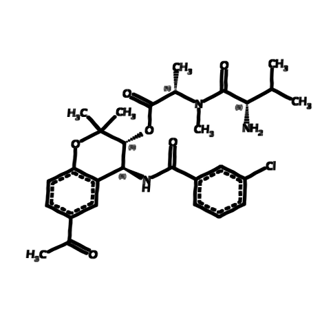 CC(=O)c1ccc2c(c1)[C@H](NC(=O)c1cccc(Cl)c1)[C@@H](OC(=O)[C@H](C)N(C)C(=O)[C@@H](N)C(C)C)C(C)(C)O2